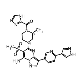 C[C@H]1C[C@H](c2nc3c(-c4ccc(-c5cn[nH]c5)nc4)cnn3c(N)c2S(C)(=O)=O)CCN1C(=O)c1nnc[nH]1